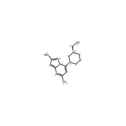 CCCCc1cc2nc(C)cc(N3CCC[C@H](CO)C3)n2n1